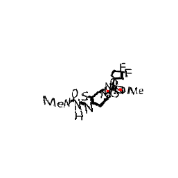 CNC(=O)Nc1nc2c(s1)C1CN(C(=O)OC)CC(C2)N1c1nc(C2CCC(F)(F)C2)no1